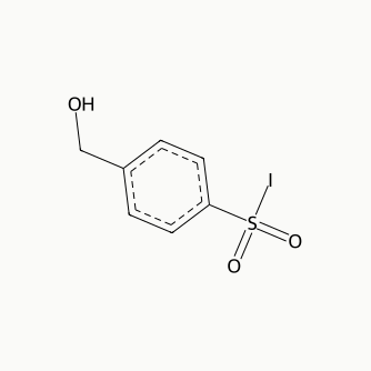 O=S(=O)(I)c1ccc(CO)cc1